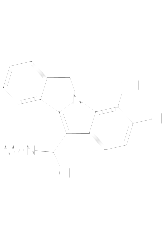 CNC(C)c1c2n(c3c(C)c(Cl)ccc13)Cc1ccccc1-2